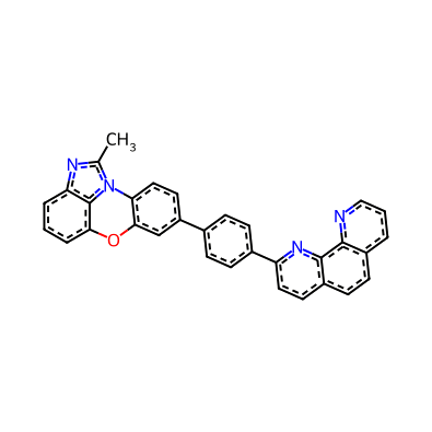 Cc1nc2cccc3c2n1-c1ccc(-c2ccc(-c4ccc5ccc6cccnc6c5n4)cc2)cc1O3